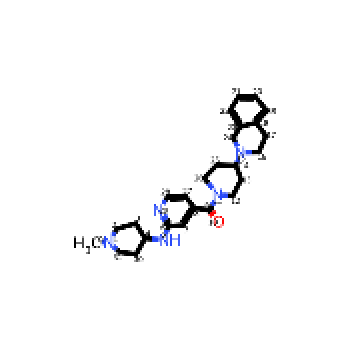 CN1CCC(Nc2cc(C(=O)N3CCC(N4CCc5ccccc5C4)CC3)ccn2)CC1